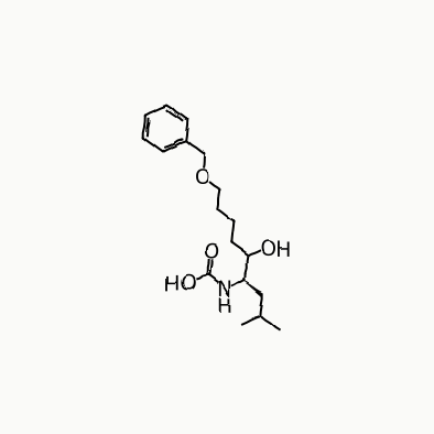 CC(C)C[C@@H](NC(=O)O)C(O)CCCCOCc1ccccc1